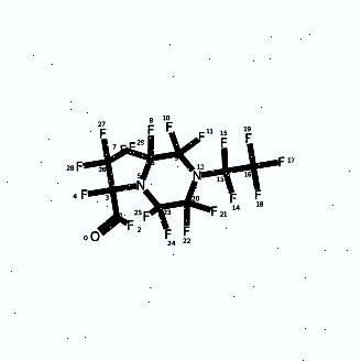 O=C(F)C(F)(N1C(F)(F)C(F)(F)N(C(F)(F)C(F)(F)F)C(F)(F)C1(F)F)C(F)(F)F